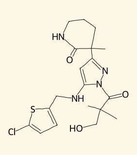 CC(C)(CO)C(=O)n1nc(C2(C)CCCNC2=O)cc1NCc1ccc(Cl)s1